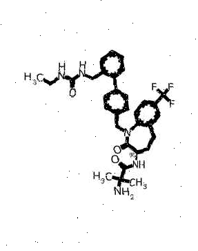 CCNC(=O)NCc1ccccc1-c1ccc(CN2C(=O)[C@H](NC(=O)C(C)(C)N)CCc3cc(C(F)(F)F)ccc32)cc1